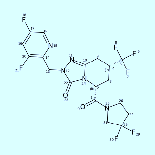 O=C([C@H]1C[C@@H](C(F)(F)F)Cc2nn(Cc3ncc(F)cc3F)c(=O)n21)N1CCC(F)(F)C1